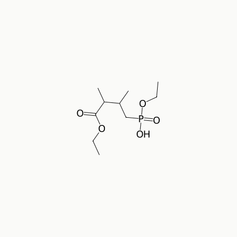 CCOC(=O)C(C)C(C)CP(=O)(O)OCC